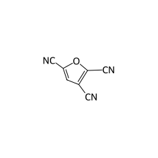 N#Cc1cc(C#N)c(C#N)o1